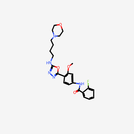 COc1cc(NC(=O)c2ccccc2F)ccc1-c1nnc(NCCCCN2CCOCC2)o1